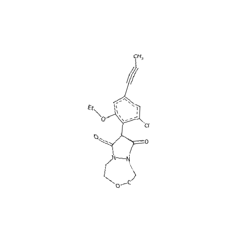 CC#Cc1cc(Cl)c(C2C(=O)N3CCOCCN3C2=O)c(OCC)c1